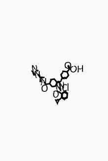 O=C(O)C1CC=C(c2nn(C(=O)c3c(Cl)cccc3C3CC3)c3c2CCC(C(=O)N2CC(n4ccnc4)C2)C3)CC1